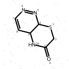 O=C1CSC2N=N[C]=CC2N1